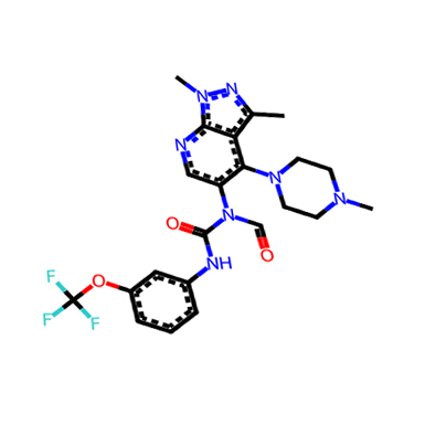 Cc1nn(C)c2ncc(N(C=O)C(=O)Nc3cccc(OC(F)(F)F)c3)c(N3CCN(C)CC3)c12